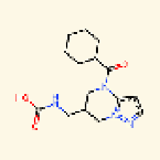 O=C(O)NCC1CN(C(=O)C2CCCCC2)c2ccnn2C1